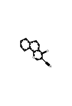 N#Cc1coc2c(ccc3ccccc32)c1=O